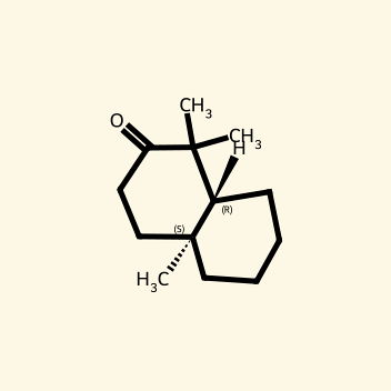 CC1(C)C(=O)CC[C@]2(C)CCCC[C@@H]12